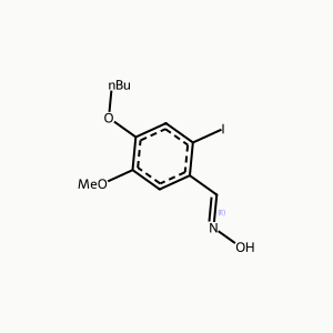 CCCCOc1cc(I)c(/C=N/O)cc1OC